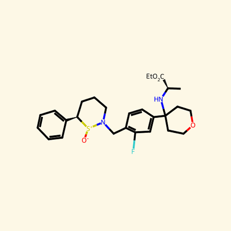 CCOC(=O)[C@@H](C)NC1(c2ccc(CN3CCC[C@H](c4ccccc4)[S+]3[O-])c(F)c2)CCOCC1